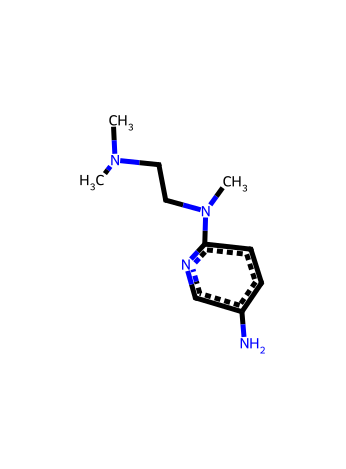 CN(C)CCN(C)c1ccc(N)cn1